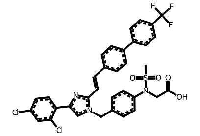 CS(=O)(=O)N(CC(=O)O)c1ccc(Cn2cc(-c3ccc(Cl)cc3Cl)nc2C=Cc2ccc(-c3ccc(C(F)(F)F)cc3)cc2)cc1